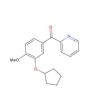 COc1ccc(C(=O)c2ccccn2)cc1OC1CCCC1